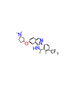 Cc1c(C(C)Nc2nncc3ccc(O[C@H]4CC[C@H](N(C)C)C4)cc23)cccc1C(F)(F)F